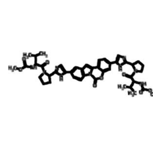 COC(=O)NC(C(=O)N1CCCC1c1ncc(-c2ccc3c(c2)cc2c4ccc(-c5cnc(C6CCCN6C(=O)C(NC(=O)OC)C(C)C)[nH]5)cc4oc(=O)n32)[nH]1)C(C)C